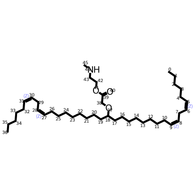 CCCCC/C=C\C/C=C\CCCCCCCCC(CCCCCCCC/C=C\C/C=C\CCCCC)OCC(=O)OCCNC